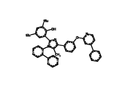 Cc1c(-c2cccc(Oc3cc(-c4ccccc4)ccn3)c2)nc(-c2cc(C(C)(C)C)cc(C(C)(C)C)c2O)n1-c1ccccc1-c1ccccc1